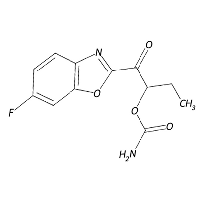 CCC(OC(N)=O)C(=O)c1nc2ccc(F)cc2o1